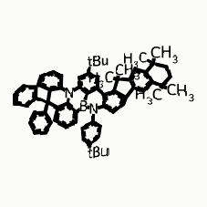 CC(C)(C)c1ccc(N2B3c4cccc5c4N(c4ccccc4C5(c4ccccc4)c4ccccc4)c4cc(C(C)(C)C)cc(c43)-c3c2ccc2c3C(C)(C)c3cc4c(cc3-2)C(C)(C)CCC4(C)C)cc1